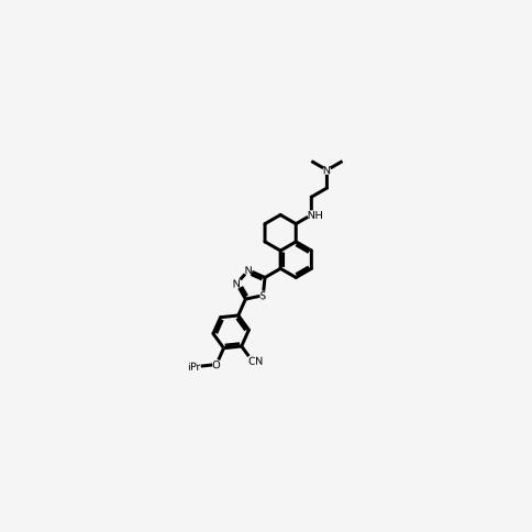 CC(C)Oc1ccc(-c2nnc(-c3cccc4c3CCCC4NCCN(C)C)s2)cc1C#N